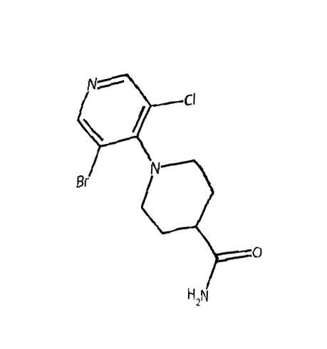 NC(=O)C1CCN(c2c(Cl)cncc2Br)CC1